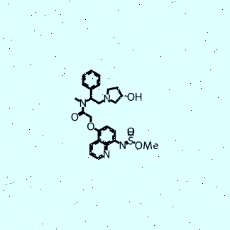 CO[SH](=O)=Nc1ccc(OCC(=O)N(C)C(CN2CC[C@H](O)C2)c2ccccc2)c2cccnc12